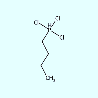 CCCC[PH](Cl)(Cl)Cl